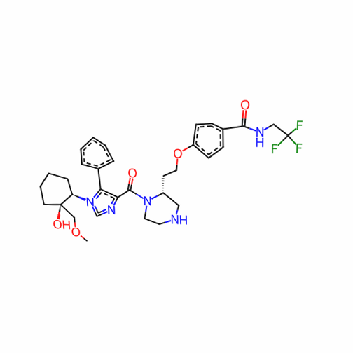 COC[C@]1(O)CCCC[C@H]1n1cnc(C(=O)N2CCNC[C@H]2CCOc2ccc(C(=O)NCC(F)(F)F)cc2)c1-c1ccccc1